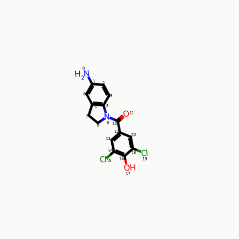 Nc1ccc2c(c1)CCN2C(=O)c1cc(Cl)c(O)c(Cl)c1